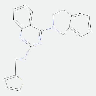 c1csc(CNc2nc(N3CCc4ccccc4C3)c3ccccc3n2)c1